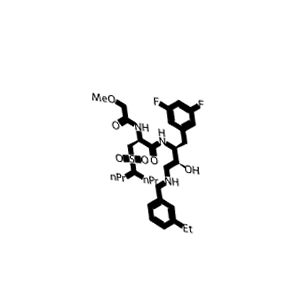 CCCC(CCC)S(=O)(=O)C[C@@H](NC(=O)COC)C(=O)N[C@@H](Cc1cc(F)cc(F)c1)[C@H](O)CNCc1cccc(CC)c1